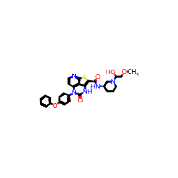 COCC(O)N1CCC[C@@H](NC(=O)c2sc3nccc4c3c2NC(=O)N4c2ccc(Oc3ccccc3)cc2)C1